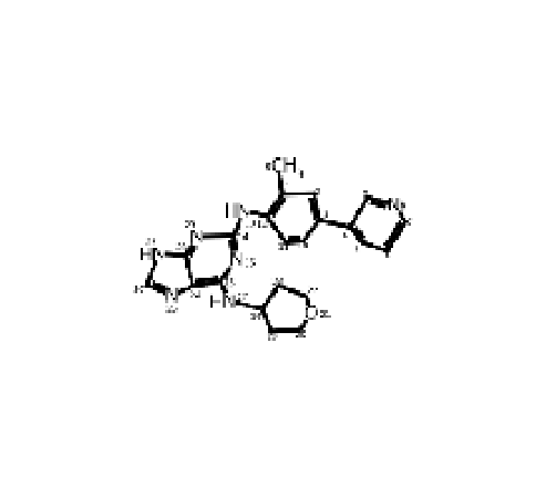 Cc1cc(-c2cccnc2)ccc1Nc1nc(NC2CCOCC2)c2nc[nH]c2n1